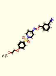 COCCOc1ccc(S(=O)(=O)N2CCC(=NOCc3cccc(C#N)c3)CC2)cc1